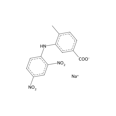 Cc1ccc(C(=O)[O-])cc1Nc1ccc([N+](=O)[O-])cc1[N+](=O)[O-].[Na+]